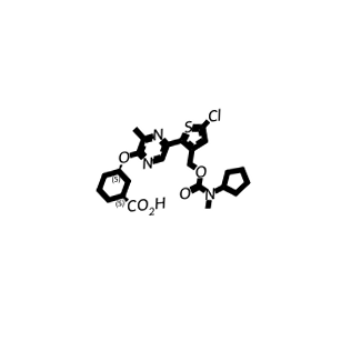 Cc1nc(-c2sc(Cl)cc2COC(=O)N(C)C2CCCC2)cnc1O[C@H]1CCC[C@H](C(=O)O)C1